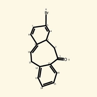 O=C1CC2C=C(Br)C=C/C2=C/Cc2ccccc21